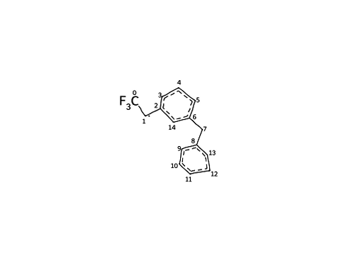 FC(F)(F)[CH]c1cccc(Cc2ccccc2)c1